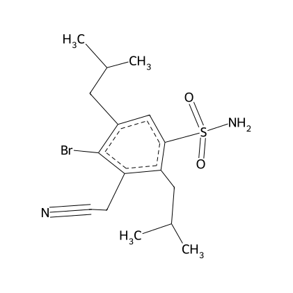 CC(C)Cc1cc(S(N)(=O)=O)c(CC(C)C)c(CC#N)c1Br